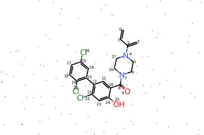 C=CC(=C)N1CCN(C(=O)c2cc(-c3cc(Cl)ccc3Cl)c(Cl)cc2O)CC1